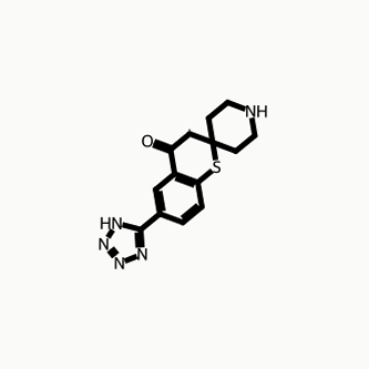 O=C1[CH]C2(CCNCC2)Sc2ccc(-c3nnn[nH]3)cc21